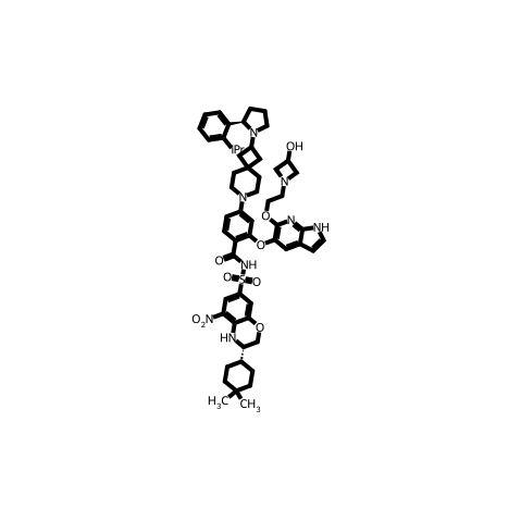 CC(C)c1ccccc1[C@H]1CCCN1C1CC2(CCN(c3ccc(C(=O)NS(=O)(=O)c4cc5c(c([N+](=O)[O-])c4)N[C@@H](C4CCC(C)(C)CC4)CO5)c(Oc4cc5cc[nH]c5nc4OCCN4CC(O)C4)c3)CC2)C1